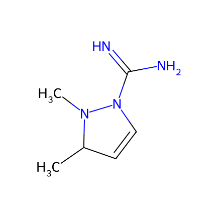 CC1C=CN(C(=N)N)N1C